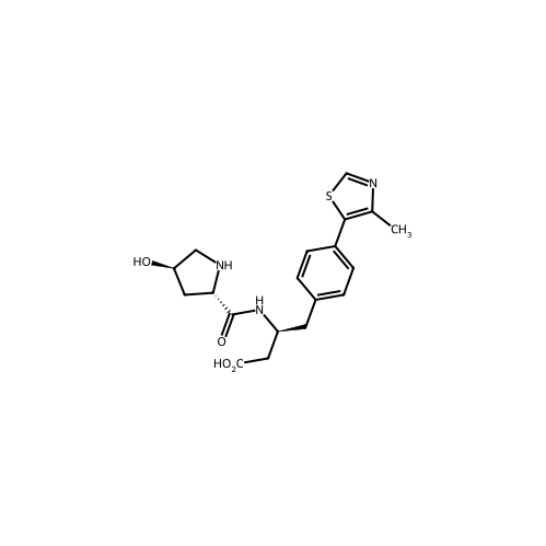 Cc1ncsc1-c1ccc(C[C@@H](CC(=O)O)NC(=O)[C@@H]2C[C@@H](O)CN2)cc1